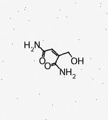 NC(=O)/C=C(/CO)C(N)=O